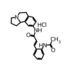 CC(=O)Nc1ccccc1C=CC(=O)Nc1ccc2c(c1)C1CCCN1CC2.Cl